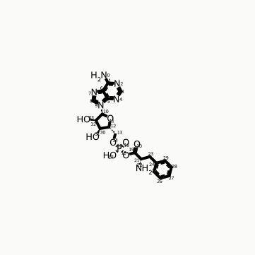 Nc1ncnc2c1ncn2[C@@H]1O[C@H](COP(=O)(O)OC(=O)[C@@H](N)Cc2ccccc2)[C@@H](O)[C@H]1O